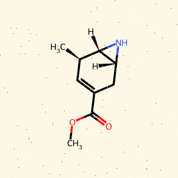 COC(=O)C1=C[C@@H](C)[C@@H]2N[C@@H]2C1